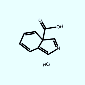 Cl.O=C(O)C12C=CC=CC1=CN=C2